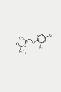 CC[C@@H](COc1ncc(Br)cc1Br)OC(N)=O